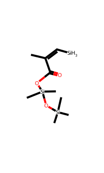 CC(=C[SiH3])C(=O)O[Si](C)(C)O[Si](C)(C)C